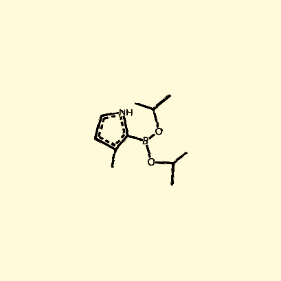 Cc1cc[nH]c1B(OC(C)C)OC(C)C